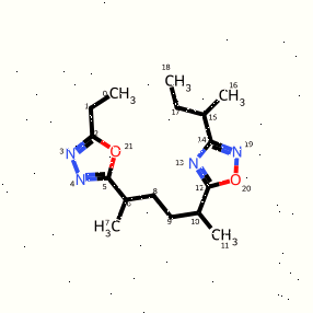 CCc1nnc(C(C)CCC(C)c2nc(C(C)CC)no2)o1